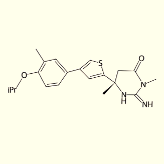 Cc1cc(-c2csc([C@]3(C)CC(=O)N(C)C(=N)N3)c2)ccc1OC(C)C